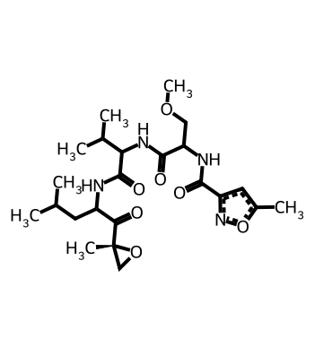 COCC(NC(=O)c1cc(C)on1)C(=O)NC(C(=O)NC(CC(C)C)C(=O)[C@@]1(C)CO1)C(C)C